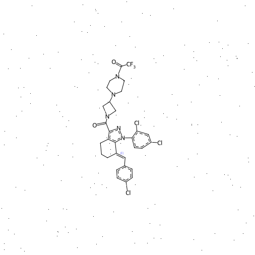 O=C(c1nn(-c2ccc(Cl)cc2Cl)c2c1CCC/C2=C\c1ccc(Cl)cc1)N1CC(N2CCN(C(=O)C(F)(F)F)CC2)C1